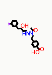 CC(=O)N(CCc1ccc(C(=O)O)cc1)NCCC(O)Cc1cccc(I)c1